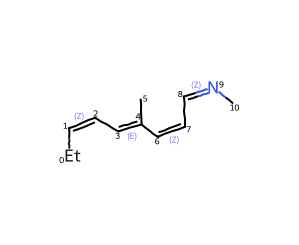 CC\C=C/C=C(C)/C=C\C=N/C